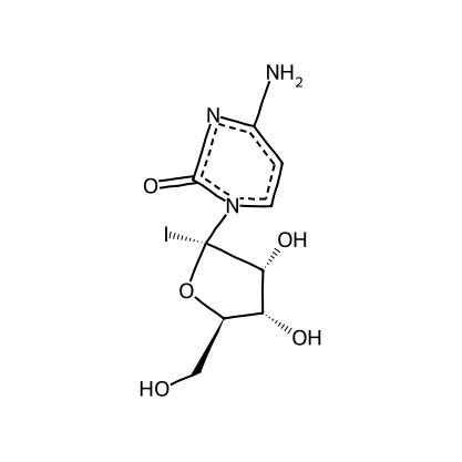 Nc1ccn([C@]2(I)O[C@H](CO)[C@@H](O)[C@H]2O)c(=O)n1